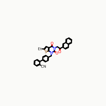 CCc1cc2c(=O)n(CC(=O)c3ccc4ccccc4c3)c(=O)n(Cc3ccc(-c4ccccc4C#N)cc3)c2s1